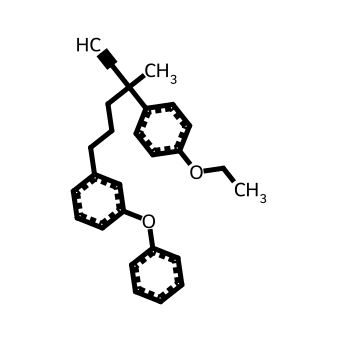 C#CC(C)(CCCc1cccc(Oc2ccccc2)c1)c1ccc(OCC)cc1